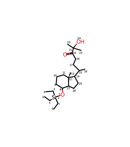 CC[Si](CC)(CC)OC1CCC[C@]2(C)C(C(C)CCC(=O)C(C)(C)O)CCC12